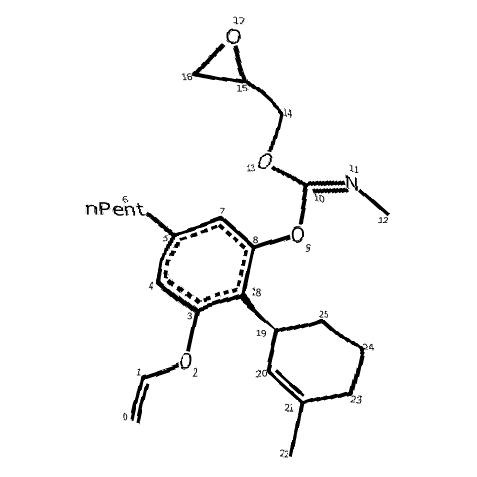 C=COc1cc(CCCCC)cc(O/C(=N\C)OCC2CO2)c1[C@@H]1C=C(C)CCC1